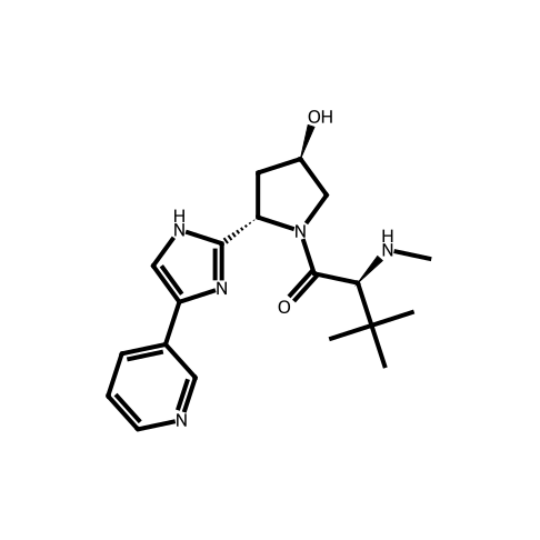 CN[C@H](C(=O)N1C[C@H](O)C[C@H]1c1nc(-c2cccnc2)c[nH]1)C(C)(C)C